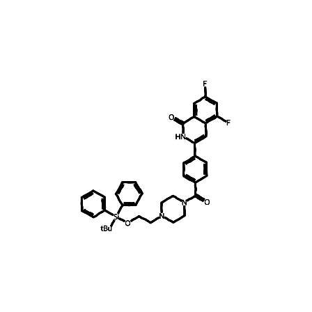 CC(C)(C)[Si](OCCN1CCN(C(=O)c2ccc(-c3cc4c(F)cc(F)cc4c(=O)[nH]3)cc2)CC1)(c1ccccc1)c1ccccc1